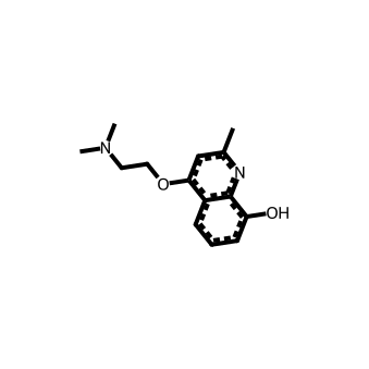 Cc1cc(OCCN(C)C)c2cccc(O)c2n1